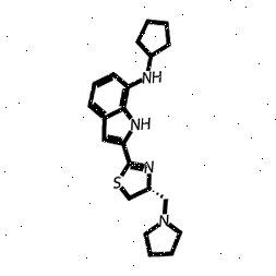 c1cc(NC2CCCC2)c2[nH]c(C3=N[C@H](CN4CCCC4)CS3)cc2c1